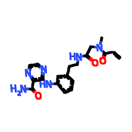 C=CC(=O)N(C)CC(=O)NCCc1cccc(Nc2nccnc2C(N)=O)c1